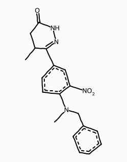 CC1CC(=O)NN=C1c1ccc(N(C)Cc2ccccc2)c([N+](=O)[O-])c1